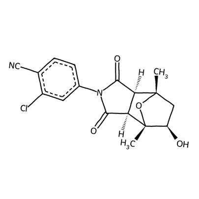 C[C@@]12O[C@@](C)(C[C@H]1O)[C@@H]1C(=O)N(c3ccc(C#N)c(Cl)c3)C(=O)[C@@H]12